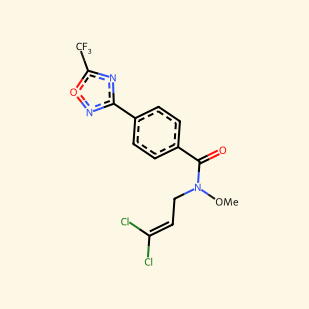 CON(CC=C(Cl)Cl)C(=O)c1ccc(-c2noc(C(F)(F)F)n2)cc1